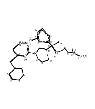 CNC[C@H](CC1CCCCC1)NC(=O)N1CCC[C@@H]([C@@](C)(OCCNC(=O)O)c2cccc(Cl)c2)C1